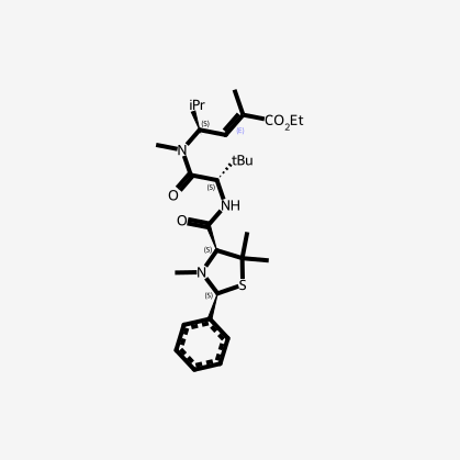 CCOC(=O)/C(C)=C/[C@H](C(C)C)N(C)C(=O)[C@@H](NC(=O)[C@@H]1N(C)[C@H](c2ccccc2)SC1(C)C)C(C)(C)C